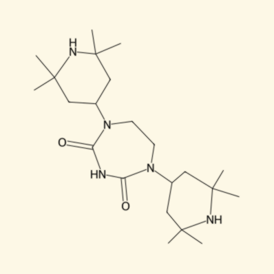 CC1(C)CC(N2CCN(C3CC(C)(C)NC(C)(C)C3)C(=O)NC2=O)CC(C)(C)N1